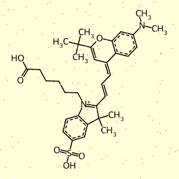 CN(C)c1ccc2c(c1)OC(C(C)(C)C)=C/C2=C\C=C\C1=[N+](CCCCCC(=O)O)c2ccc(S(=O)(=O)O)cc2C1(C)C